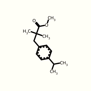 COC(=O)C(C)(C)Cc1ccc(C(C)C)cc1